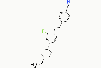 CC[C@H]1CC[C@H](c2ccc(CCc3ccc(C#N)cc3)c(F)c2)CC1